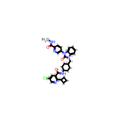 CNC(=O)c1ccc(-n2c(=O)n(CC3CCC(NC(=O)c4cc(Cl)cnc4C4CCC4)CC3)c3ccccc32)cn1